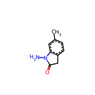 Cc1ccc2c(c1)N(N)C(=O)C2